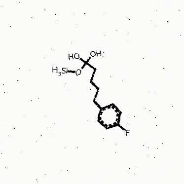 OC(O)(CCCCc1ccc(F)cc1)O[SiH3]